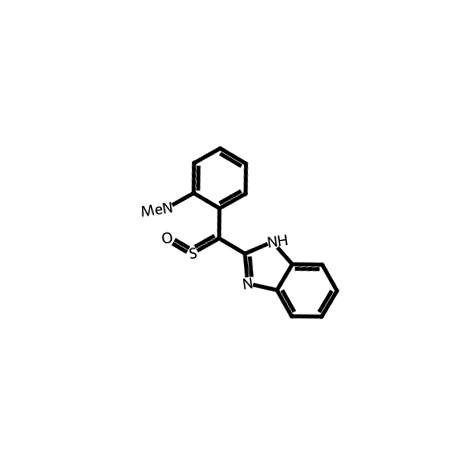 CNc1ccccc1C(=S=O)c1nc2ccccc2[nH]1